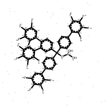 OB(O)OC(c1ccc(-c2cc(F)c(F)c(F)c2F)cc1)(c1ccc(-c2cc(F)c(F)c(F)c2F)cc1)c1ccc(-c2cc(F)c(F)c(F)c2F)c(-c2cc(F)c(F)c(F)c2F)c1